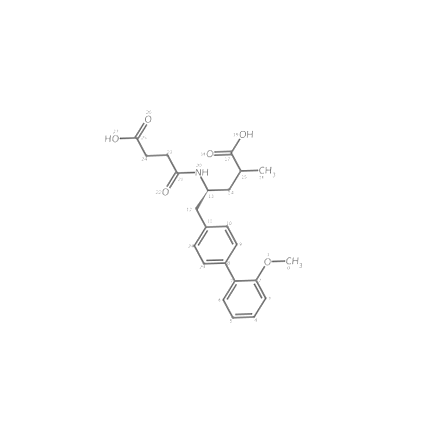 COc1ccccc1-c1ccc(C[C@H](CC(C)C(=O)O)NC(=O)CCC(=O)O)cc1